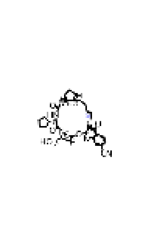 N#Cc1ccc2c(=O)n3c(nc2c1)O[C@@H]1C[C@@H](C(=O)O)N(C1)C(=O)[C@H](C1CCCC1)NC(=O)O[C@@H]1CCC[C@H]1CC/C=C/C3